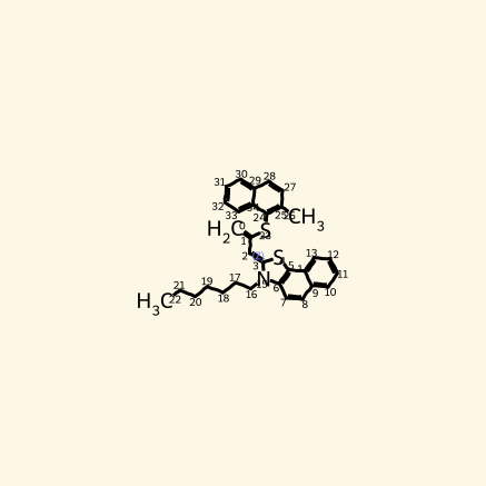 C=C(/C=C1\Sc2c(ccc3ccccc23)N1CCCCCCC)Sc1c(C)ccc2ccccc12